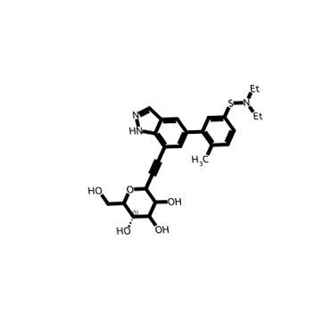 CCN(CC)Sc1ccc(C)c(-c2cc(C#CC3OC(CO)[C@@H](O)C(O)C3O)c3[nH]ncc3c2)c1